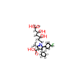 CC(C)c1c(C(=O)O)c(-c2ccccc2)c(-c2ccc(F)cc2)n1CC[C@@H](O)C[C@@H](O)CC(=O)O